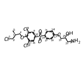 C[C@H](CCl)COc1c(Cl)cc(S(=O)(=O)c2ccc(OC[C@@H](O)CN)cc2)cc1Cl